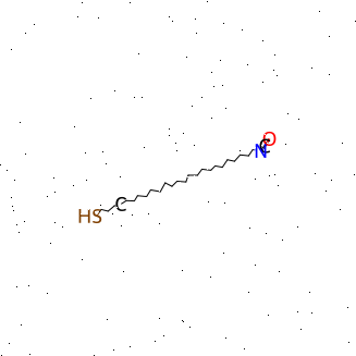 O=C=NCCCCCCCCCCCCCCCCCCCCCCCCCS